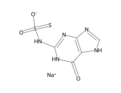 O=c1[nH]c(NS(=O)([O-])=S)nc2nc[nH]c12.[Na+]